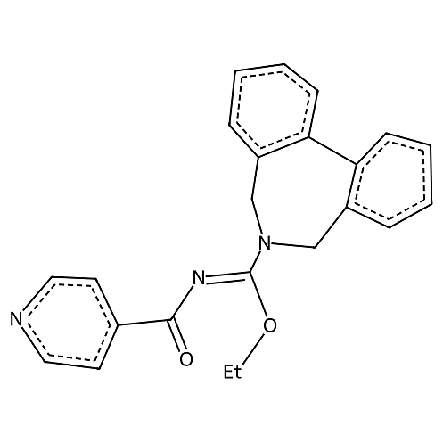 CCOC(=NC(=O)c1ccncc1)N1Cc2ccccc2-c2ccccc2C1